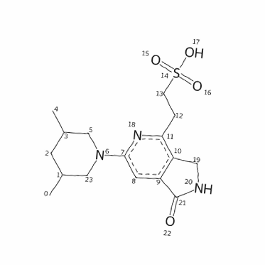 CC1CC(C)CN(c2cc3c(c(CCS(=O)(=O)O)n2)CNC3=O)C1